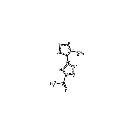 CC(=O)c1nnn(-c2cccn2C)n1